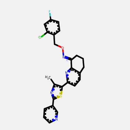 Cc1nc(-c2cccnc2)sc1-c1ccc2c(n1)/C(=N/OCc1ccc(F)cc1Cl)CCC2